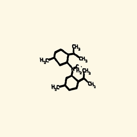 [CH2]N(C1CC(C)CCC1C(C)C)C1CC(C)CCC1C(C)C